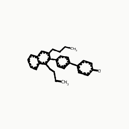 CCCCc1cc2ccccc2c(CCCC)c1-c1ccc(-c2ccc(Cl)cc2)cc1